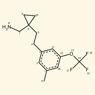 Cc1cc(CCC2(CN)CC2)cc(OC(F)(F)F)c1